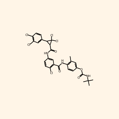 Cc1cc(OC(=O)NC(C)(C)C)ccc1NC(=O)c1cc(NC(=O)C2C(c3ccc(Cl)c(Cl)c3)C2(Cl)Cl)ccc1Cl